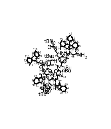 CCCC[C@@H](C(=O)N(C)[C@@H](CCCC)C(=O)N[C@@H](CCCNC(=O)OC(C)(C)C)C(=O)N[C@@H](CSC(c1ccccc1)(c1ccccc1)c1ccccc1)C(=O)NCC(N)=O)N(C)C(=O)[C@H](Cc1csc2ccccc12)NC(=O)[C@H](CCNC(=O)OC(C)(C)C)NC(=O)[C@H](Cc1cn(C(=O)OC(C)(C)C)c2ccccc12)NC(=O)[C@@H]1C[C@@H](OC(C)(C)C)CN1C(=O)OCC1c2ccccc2-c2ccccc21